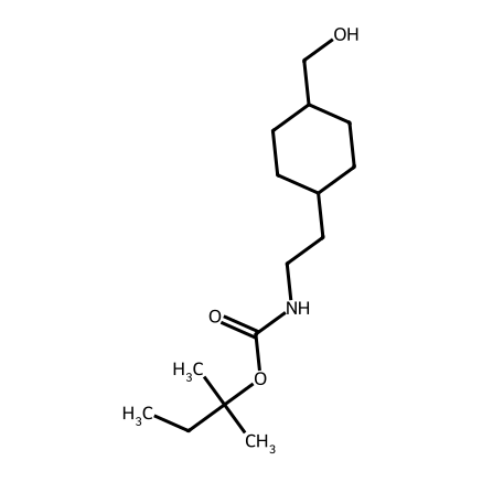 CCC(C)(C)OC(=O)NCCC1CCC(CO)CC1